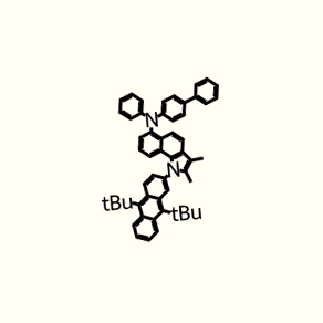 Cc1c(C)n(-c2ccc3c(C(C)(C)C)c4ccccc4c(C(C)(C)C)c3c2)c2c1ccc1c(N(c3ccccc3)c3ccc(-c4ccccc4)cc3)cccc12